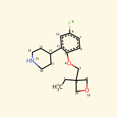 CCC1(COc2ccc(F)cc2C2CCNCC2)COC1